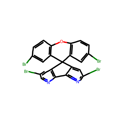 Brc1ccc2c(c1)C1(c3cc(Br)ccc3O2)c2cc(Br)cnc2-c2ncc(Br)cc21